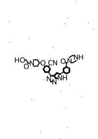 N#Cc1cc(-c2ncnc3[nH]c(-c4cccc(C(=O)N5CCNCC5)c4)cc23)ccc1OC1CCN(C(=O)CO)CC1